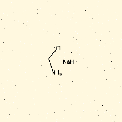 NCCl.[NaH]